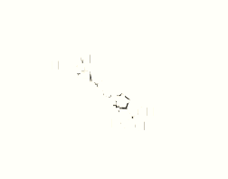 CC(C)(C)c1ccn(COCC[Si](C)(C)C)n1